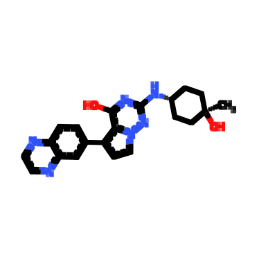 C[C@]1(O)CC[C@H](Nc2nc(O)c3c(-c4ccc5nccnc5c4)ccn3n2)CC1